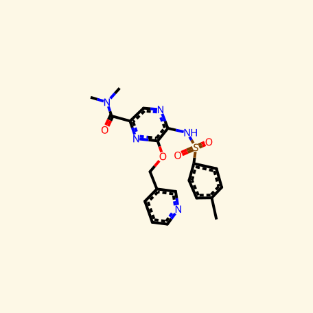 Cc1ccc(S(=O)(=O)Nc2ncc(C(=O)N(C)C)nc2OCc2cccnc2)cc1